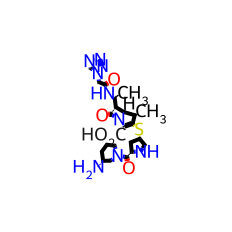 C[C@@H](NC(=O)Cn1cnnn1)[C@H]1C(=O)N2C(C(=O)O)=C(S[C@@H]3CN[C@H](C(=O)N4CCC[C@@H](N)C4)C3)[C@H](C)[C@H]12